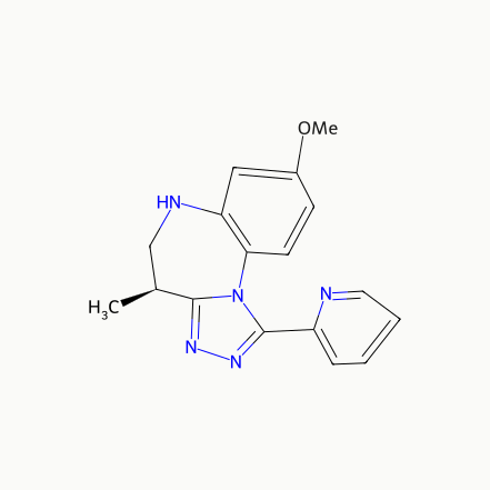 COc1ccc2c(c1)NC[C@H](C)c1nnc(-c3ccccn3)n1-2